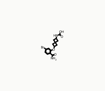 NC(=O)c1ccc(Br)cc1OC1CC2(CC(NC(=O)O)C2)C1